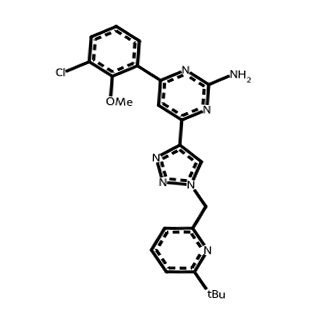 COc1c(Cl)cccc1-c1cc(-c2cn(Cc3cccc(C(C)(C)C)n3)nn2)nc(N)n1